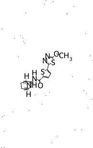 COc1nnc(-c2ccc(C(=O)N[C@@H]3C[C@H]4CC[C@@H]3N4)s2)s1